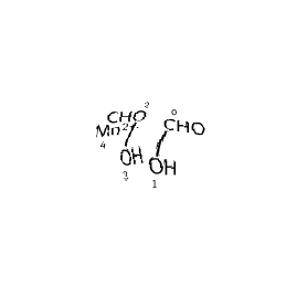 O=[C-]O.O=[C-]O.[Mn+2]